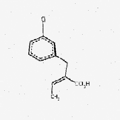 CC=C(Cc1cccc(Cl)c1)C(=O)O